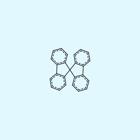 [c]1ccc2c(c1)C1(c3ccccc3-2)c2ccccc2-c2ccccc21